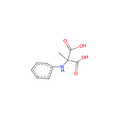 CC(Nc1ccccc1)(C(=O)O)C(=O)O